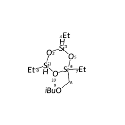 CC[SiH]1O[SiH](CC)O[Si](CC)(COCC(C)C)O1